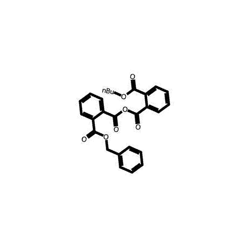 CCCCOC(=O)c1ccccc1C(=O)OC(=O)c1ccccc1C(=O)OCc1ccccc1